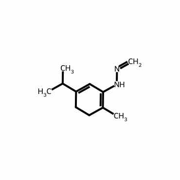 C=NNC1=C(C)CCC(C(C)C)=C1